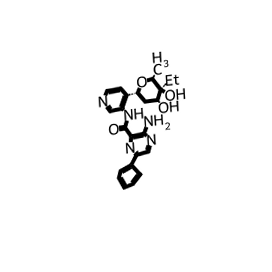 CC[C@]1(O)[C@H](O)C[C@H](c2ccncc2NC(=O)c2nc(-c3ccccc3)cnc2N)O[C@@H]1C